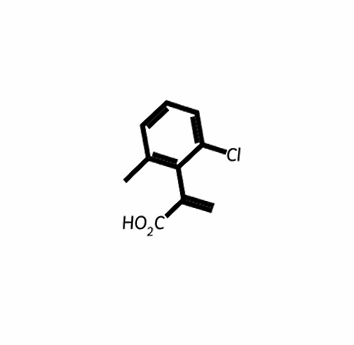 C=C(C(=O)O)c1c(C)cccc1Cl